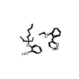 CCCCCC(CC)(CC)Oc1ccccc1O.CCOc1ccccc1-c1ccnnn1